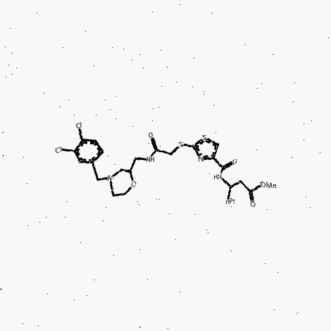 CCCC(CC(=O)OC)NC(=O)c1csc(SCC(=O)NCC2CN(Cc3ccc(Cl)c(Cl)c3)CCO2)n1